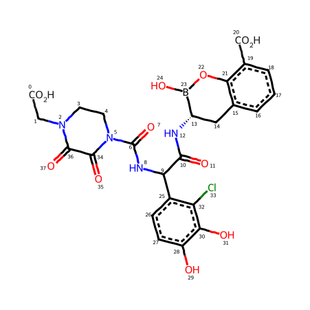 O=C(O)CN1CCN(C(=O)NC(C(=O)N[C@H]2Cc3cccc(C(=O)O)c3OB2O)c2ccc(O)c(O)c2Cl)C(=O)C1=O